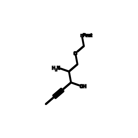 CC#CC(O)C(N)COCCCCCC